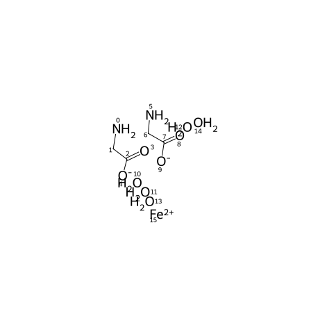 NCC(=O)[O-].NCC(=O)[O-].O.O.O.O.O.[Fe+2]